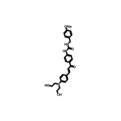 COc1ccc(CNC(=O)Nc2ccc(C(=O)C=Cc3ccc(N(CCO)CCO)cc3)cc2)cc1